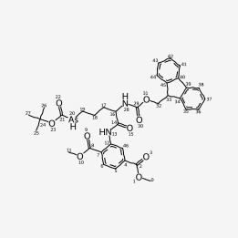 COC(=O)c1ccc(C(=O)OC)c(NC(=O)C(CCC[AsH]C(=O)OC(C)(C)C)NC(=O)OCC2c3ccccc3-c3ccccc32)c1